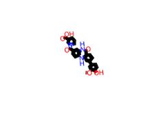 COc1cc(-c2ccc3c(c2)Nc2ccc(C(=O)N4CCCC(C(=O)O)C4)cc2NC3=O)ccc1O